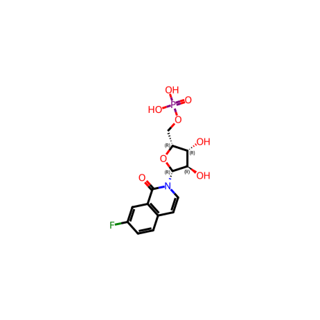 O=c1c2cc(F)ccc2ccn1[C@@H]1O[C@H](COP(=O)(O)O)[C@H](O)[C@H]1O